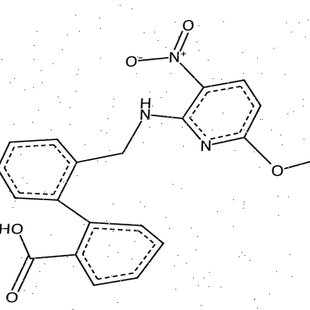 COc1ccc([N+](=O)[O-])c(NCc2ccccc2-c2ccccc2C(=O)O)n1